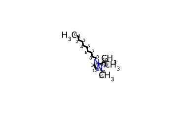 CCCCCCCCCCn1cc[n+](CC)c1C(C)C